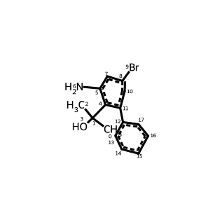 CC(C)(O)c1c(N)cc(Br)cc1-c1ccccc1